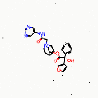 O=C(C[N+]12CCC(CC1)C(OC(=O)[C@@](O)(c1ccccc1)c1ccoc1)C2)Nc1cncnc1